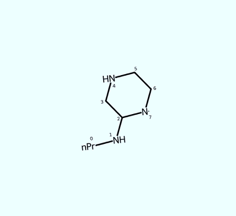 CCCNC1CNCC[N]1